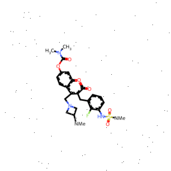 CNC1CN(Cc2c(Cc3cccc(NS(=O)(=O)NC)c3F)c(=O)oc3cc(OC(=O)N(C)C)ccc23)C1